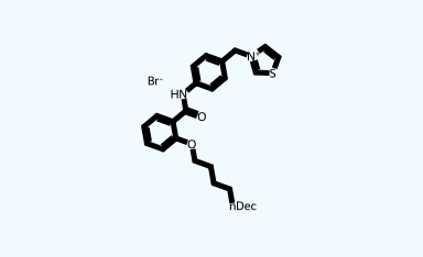 CCCCCCCCCCCCCCOc1ccccc1C(=O)Nc1ccc(C[n+]2ccsc2)cc1.[Br-]